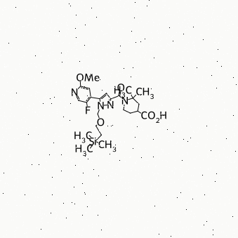 COc1cc(-c2cc(C(=O)N3CCC(C(=O)O)CC3(C)C)nn2COCC[Si](C)(C)C)c(F)cn1